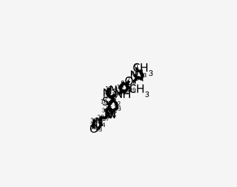 Cc1cccc(COc2ccc(Nc3ncnc4sc5c(c34)CCc3nn(CCN4CCOCC4)cc3-5)cc2C)n1